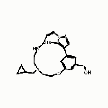 OCc1cc2cc(c1)-c1cnn3c1NC(C=C3)NCCN(CC1CC1)CCO2